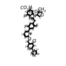 CC1(C)COCC1n1c(Cc2cc(F)c(-c3cccc(OCc4cnc(-n5ccnn5)cc4Cl)n3)cc2F)nc2c(F)cc(C(=O)O)cc21